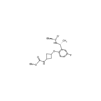 C[C@@H](N[S@+]([O-])C(C)(C)C)c1cc(F)ccc1OC1CC(NC(=O)OC(C)(C)C)C1